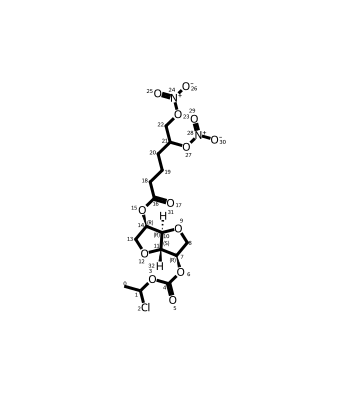 CC(Cl)OC(=O)O[C@@H]1CO[C@H]2[C@H]1OC[C@H]2OC(=O)CCCC(CO[N+](=O)[O-])O[N+](=O)[O-]